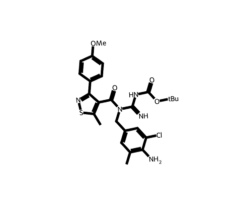 COc1ccc(-c2nsc(C)c2C(=O)N(Cc2cc(C)c(N)c(Cl)c2)C(=N)NC(=O)OC(C)(C)C)cc1